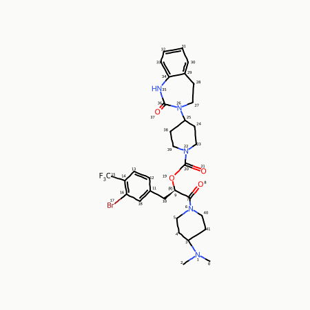 CN(C)C1CCN(C(=O)[C@@H](Cc2ccc(C(F)(F)F)c(Br)c2)OC(=O)N2CCC(N3CCc4ccccc4NC3=O)CC2)CC1